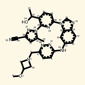 COC1CN(Cc2ccc(Nc3ccc4ncn(-c5ccc(C(C)O)c(-n6nc(C#N)cc6C)n5)c4c3)nn2)C1